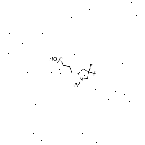 CC(C)N1CC(F)(F)C[C@H]1CCCC(=O)O